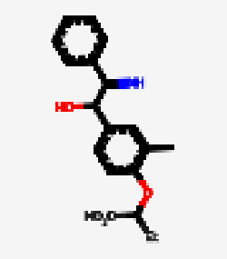 CCC(Oc1ccc(C(O)C(=N)c2ccccc2)cc1C)C(=O)O